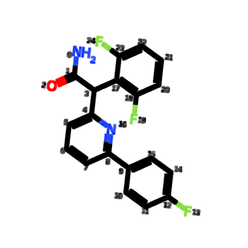 NC(=O)C(c1cccc(-c2ccc(F)cc2)n1)c1c(F)cccc1F